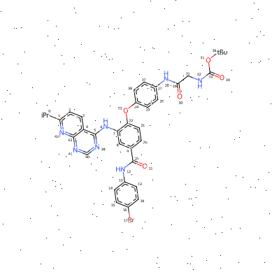 CC(C)c1ccc2c(Nc3cc(C(=O)Nc4ccc(Br)cc4)ccc3Oc3ccc(NC(=O)CNC(=O)OC(C)(C)C)cc3)ncnc2n1